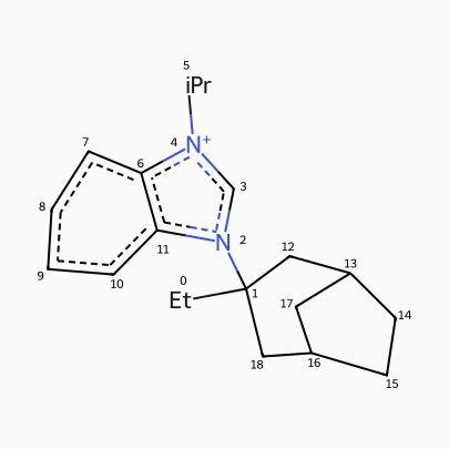 CCC1(n2c[n+](C(C)C)c3ccccc32)CC2CCC(C2)C1